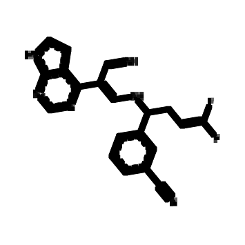 N#Cc1cccc(C(CC=C(F)F)N/C=C(\C=N)c2ncnc3[nH]ccc23)c1